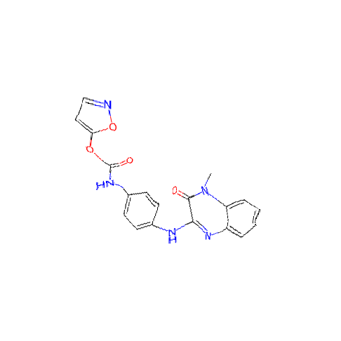 Cn1c(=O)c(Nc2ccc(NC(=O)Oc3ccno3)cc2)nc2ccccc21